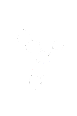 FC(F)(F)c1ccccc1Oc1nnc(-c2ccco2)c2cc3ccccc3cc12